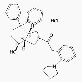 Cl.O=C(Cc1ccccc1N1CCCC1)N1C[C@H]2[C@@H](C1)C(c1ccccc1)(c1ccccc1)CC[C@@H]2O